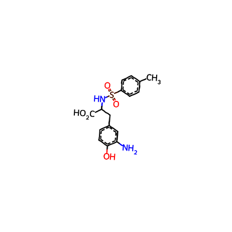 Cc1ccc(S(=O)(=O)NC(Cc2ccc(O)c(N)c2)C(=O)O)cc1